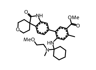 COCCN(C)C1(Nc2cc(C)c(C(=O)OC)cc2-c2ccc3c(c2)NC(=O)C32CCOCC2)CCCCC1